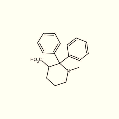 CN1CCCC(C(=O)O)C1(c1ccccc1)c1ccccc1